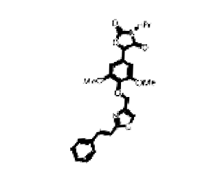 CCCN1C(=O)OC(c2cc(OC)c(OCc3coc(C=Cc4ccccc4)n3)c(OC)c2)C1=O